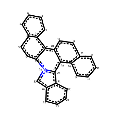 c1ccc2c(c1)ccc1c2c2ccc3ccccc3c2c2c3ccccc3cn12